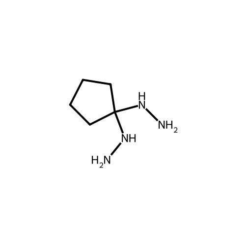 NNC1(NN)CCCC1